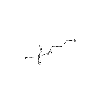 CC(C)S(=O)(=O)NCCCBr